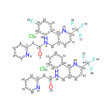 O=C(Cc1ccccn1)NCc1ccc(C(F)(F)F)nc1-c1ccc(F)c(Cl)c1.O=C(Cc1ccccn1)NCc1ccc(C(F)(F)F)nc1-c1cccc(Cl)c1